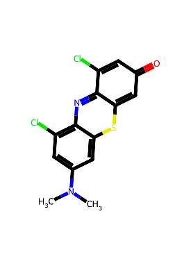 CN(C)c1cc(Cl)c2nc3c(Cl)cc(=O)cc-3sc2c1